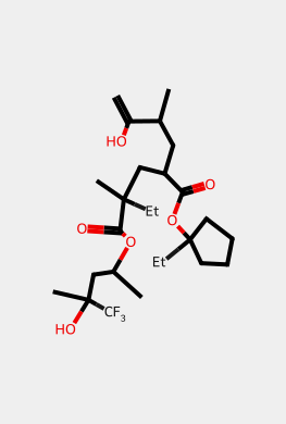 C=C(O)C(C)CC(CC(C)(CC)C(=O)OC(C)CC(C)(O)C(F)(F)F)C(=O)OC1(CC)CCCC1